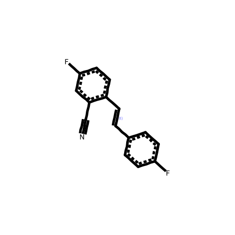 N#Cc1cc(F)ccc1/C=C/c1ccc(F)cc1